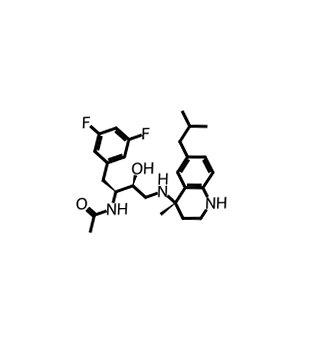 CC(=O)N[C@@H](Cc1cc(F)cc(F)c1)[C@@H](O)CN[C@@]1(C)CCNc2ccc(CC(C)C)cc21